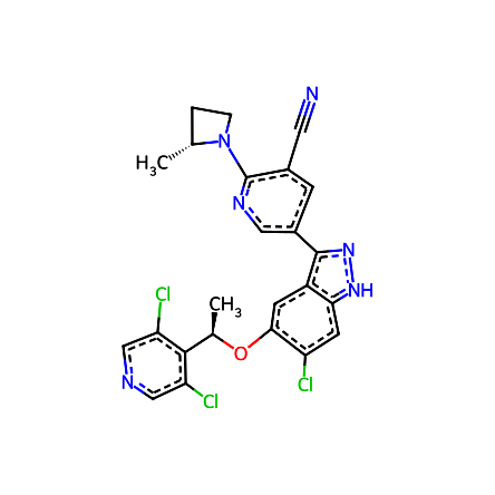 C[C@@H]1CCN1c1ncc(-c2n[nH]c3cc(Cl)c(O[C@H](C)c4c(Cl)cncc4Cl)cc23)cc1C#N